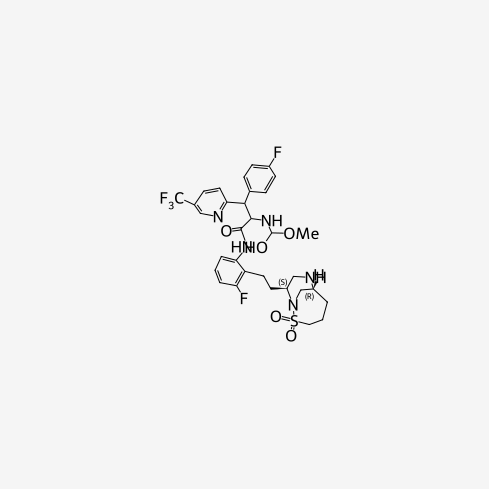 COC(O)NC(C(=O)Nc1cccc(F)c1CC[C@H]1CN[C@@H]2CCCS(=O)(=O)N1C2)C(c1ccc(F)cc1)c1ccc(C(F)(F)F)cn1